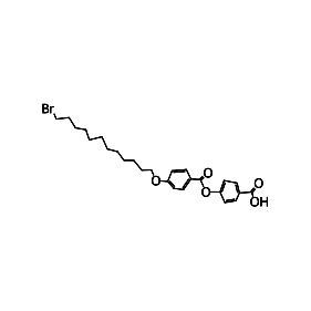 O=C(O)c1ccc(OC(=O)c2ccc(OCCCCCCCCCCCCBr)cc2)cc1